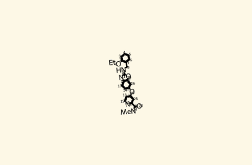 CCOc1ccccc1CNc1nc2ccc(Oc3ccnc(C(=O)NC)c3)cc2o1